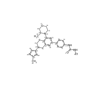 CCNC(=O)Nc1ccc(-c2nc3c(c(N4CCOCC4C)n2)CCN(c2nc(C)ns2)C3)cc1